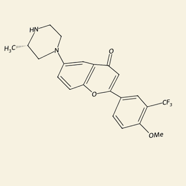 COc1ccc(-c2cc(=O)c3cc(N4CCN[C@@H](C)C4)ccc3o2)cc1C(F)(F)F